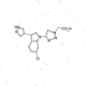 O=C(O)Cn1cc(-n2cc(-c3cn[nH]c3)c3ccc(Cl)cc32)nn1